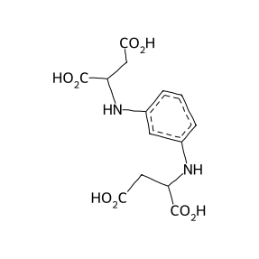 O=C(O)CC(Nc1cccc(NC(CC(=O)O)C(=O)O)c1)C(=O)O